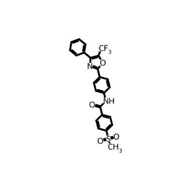 CS(=O)(=O)c1ccc(C(=O)Nc2ccc(-c3nc(-c4ccccc4)c(C(F)(F)F)o3)cc2)cc1